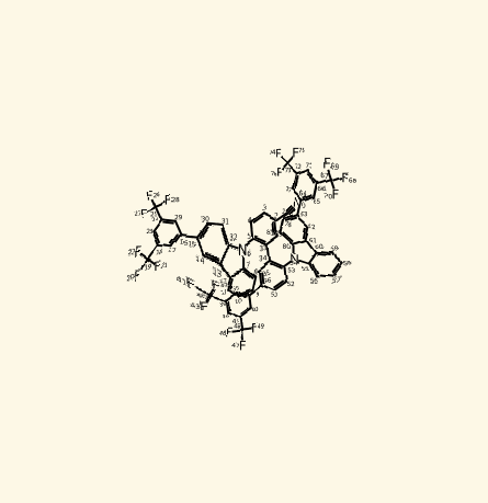 N#Cc1ccc(-n2c3ccccc3c3cc(-c4cc(C(F)(F)F)cc(C(F)(F)F)c4)ccc32)c(-c2cc(-c3cc(C(F)(F)F)cc(C(F)(F)F)c3)ccc2-n2c3ccccc3c3cc(-c4cc(C(F)(F)F)cc(C(F)(F)F)c4)ccc32)c1